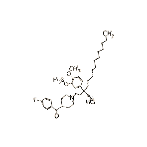 CCCCCCCCCCCCC(C#N)(CCN1CCC(C(=O)c2ccc(F)cc2)CC1)c1ccc(OC)c(OC)c1.Cl